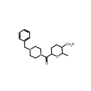 CC1OC(C(=O)N2CCN(Cc3ccccc3)CC2)CCC1C(=O)O